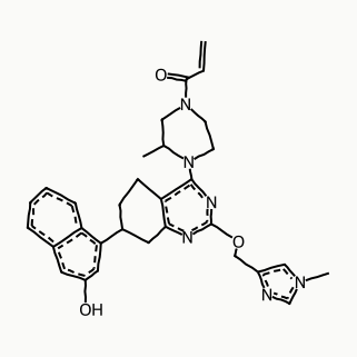 C=CC(=O)N1CCN(c2nc(OCc3cn(C)cn3)nc3c2CCC(c2cc(O)cc4ccccc24)C3)C(C)C1